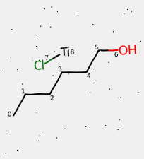 CCCCCCO.[Cl][Ti]